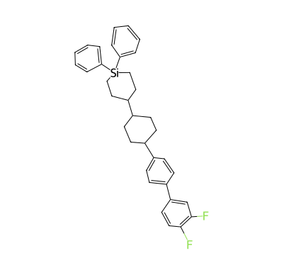 Fc1ccc(-c2ccc(C3CCC(C4CC[Si](c5ccccc5)(c5ccccc5)CC4)CC3)cc2)cc1F